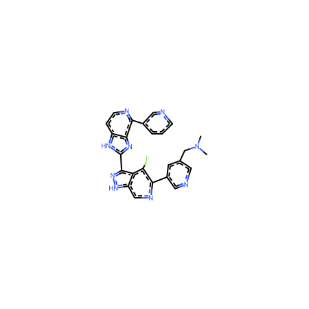 CN(C)Cc1cncc(-c2ncc3[nH]nc(-c4nc5c(-c6cccnc6)nccc5[nH]4)c3c2F)c1